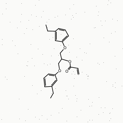 C=CC(=O)OC(COc1cccc(CC)c1)COc1cccc(CC)c1